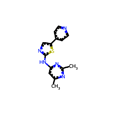 Cc1cc(Nc2ncc(-c3ccncc3)s2)nc(C)n1